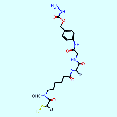 CCC(SS)C(=O)N(C=O)CCCCCC(=O)NC(C(=O)NCC(=O)Nc1ccc(COC(=O)NN)cc1)C(C)C